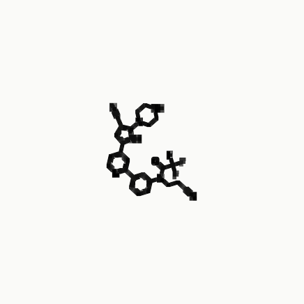 N#CCCN(C(=O)C(F)(F)F)c1cccc(-c2cc(-c3cc(C#N)c(N4CCNCC4)[nH]3)ccn2)c1